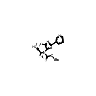 C#CC(C)N(C(=O)OC(C)(C)C)c1sc(-c2cccnc2)nc1C